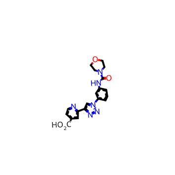 O=C(O)c1ccnc(-c2cn(-c3cccc(NC(=O)N4CCOCC4)c3)nn2)c1